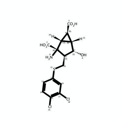 N[C@]1(C(=O)O)[C@@H]2[C@@H](C(=O)O)[C@@H]2[C@H](O)[C@H]1CSc1ccc(Cl)c(Cl)c1